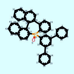 O=P1(c2cc(-c3ccccc3)cc(-c3ccccc3)c2)c2ccccc2-c2ccc3ccccc3c2-c2c1ccc1ccccc21